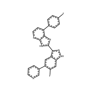 Fc1ccc(-c2ccnc3[nH]c(-c4n[nH]c5cc(F)c(-c6cccnc6)cc45)nc23)cc1